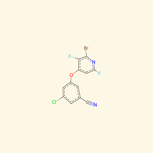 N#Cc1cc(Cl)cc(Oc2cc(F)nc(Br)c2F)c1